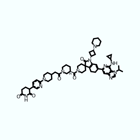 CC(C)n1cnc2cc(C3=CC4=C(CC3)C3(CCN(C(=O)[C@@H]5CCCN(C(=O)CC6CCN(c7ccc(C8CCC(=O)NC8=O)cn7)CC6)C5)CC3)C(=O)N4[C@H]3C[C@@H](N4CCCCC4)C3)nc(NC3CC3)c21